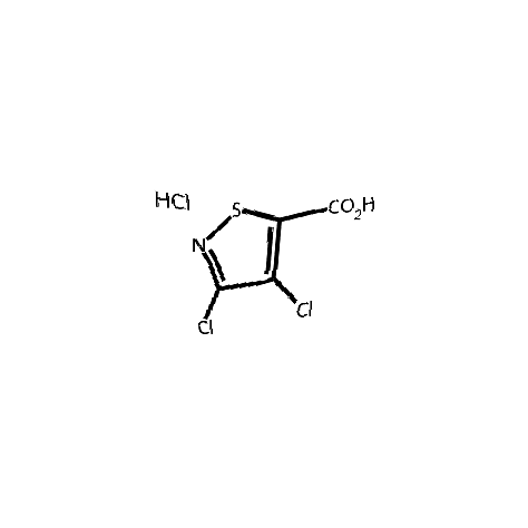 Cl.O=C(O)c1snc(Cl)c1Cl